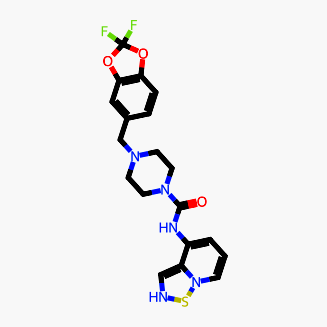 O=C(NC1=CC=CN2SNC=C12)N1CCN(Cc2ccc3c(c2)OC(F)(F)O3)CC1